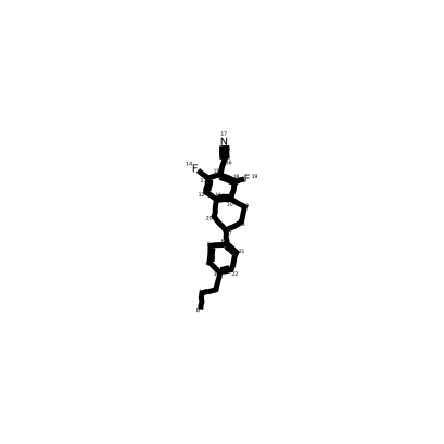 CCCc1ccc(C2CCc3c(cc(F)c(C#N)c3F)C2)cc1